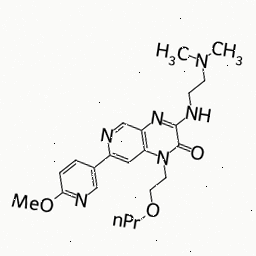 CCCOCCn1c(=O)c(NCCN(C)C)nc2cnc(-c3ccc(OC)nc3)cc21